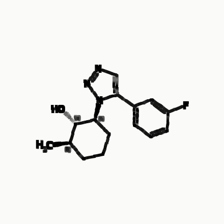 C[C@@H]1CCC[C@H](n2nncc2-c2cccc(F)c2)[C@H]1O